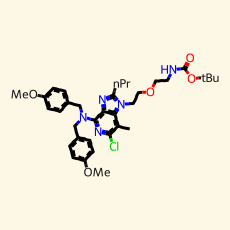 CCCc1nc2c(N(Cc3ccc(OC)cc3)Cc3ccc(OC)cc3)nc(Cl)c(C)c2n1CCOCCNC(=O)OC(C)(C)C